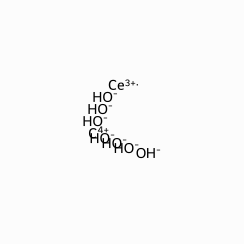 [C+4].[Ce+3].[OH-].[OH-].[OH-].[OH-].[OH-].[OH-].[OH-]